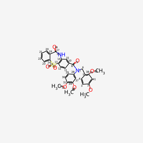 COc1ccc(CN(C(=O)c2ccc3c(c2)NC(=O)c2ccccc2S3(=O)=O)c2ccc(OC)c(OC)c2)c(OC)c1